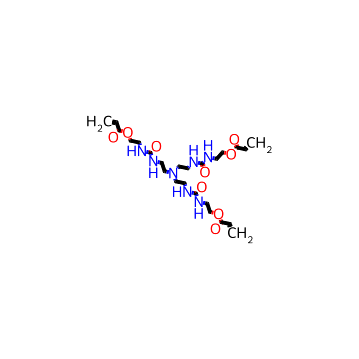 C=CC(=O)OCCNC(=O)NCCN(CCNC(=O)NCCOC(=O)C=C)CCNC(=O)NCCOC(=O)C=C